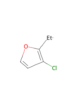 C[CH]c1occc1Cl